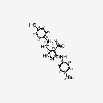 CC(C)(C)c1ccc(Nc2n[nH]c(NCc3ccc(O)cc3)c2C(N)=O)cc1